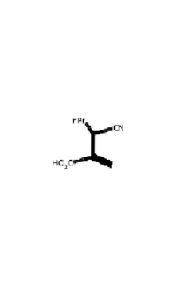 C=C(C(=O)O)C(C#N)CCC